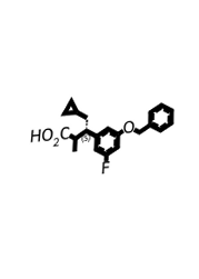 CC(C(=O)O)[C@H](CC1CC1)c1cc(F)cc(OCc2ccccc2)c1